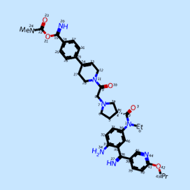 CCN(C(=O)[C@@H]1CCN(CC(=O)N2CC=C(c3ccc(C(=N)OC(=O)NC)cc3)CC2)C1)c1ccc(N)c(C(=N)c2ccc(OC(C)C)nc2)c1